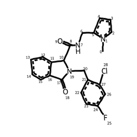 Cn1cccc1CNC(=O)C1c2ccccc2C(=O)N1Cc1ccc(F)cc1Cl